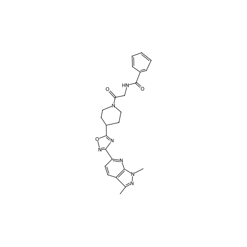 Cc1nn(C)c2nc(-c3noc(C4CCN(C(=O)CNC(=O)c5ccccc5)CC4)n3)ccc12